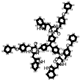 O=C(Cc1c[nH]c2ccccc12)N[C@@H](Cc1ccc(OCc2ccccc2)cc1)C(=O)Nc1ccc(C(c2ccc(NC(=O)[C@H](Cc3ccc(OCc4ccccc4)cc3)NC(=O)Cc3c[nH]c4ccccc34)cc2)c2ccc(NC(=O)[C@H](Cc3ccc(OCc4ccccc4)cc3)NC(=O)Cc3c[nH]c4ccccc34)cc2)cc1